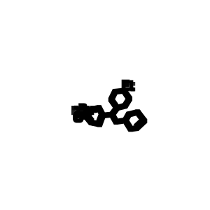 CCCCOc1ccc(C(CC2CC=CCC2)C2CCC(CC)CC2)cc1